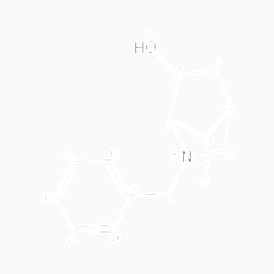 CC1C2CC(O)C1N(Cc1ccccc1)C2